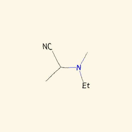 CCN(C)C(C)C#N